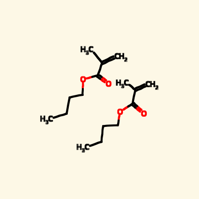 C=C(C)C(=O)OCCCC.C=C(C)C(=O)OCCCC